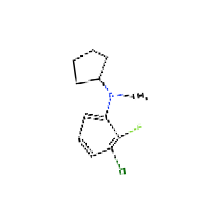 CN(c1cccc(Cl)c1F)C1CCCC1